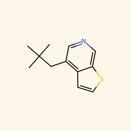 CC(C)(C)Cc1cncc2sccc12